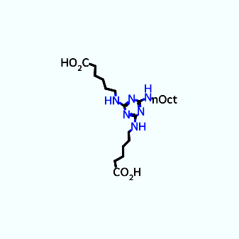 CCCCCCCCNc1nc(NCCCCCC(=O)O)nc(NCCCCCC(=O)O)n1